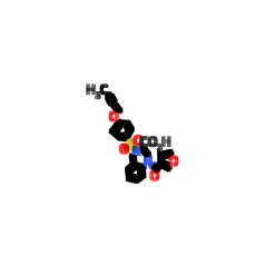 CC#CCOc1ccc(S(=O)(=O)N2Cc3ccccc3N(C(=O)c3ccoc3)CC2C(=O)O)cc1